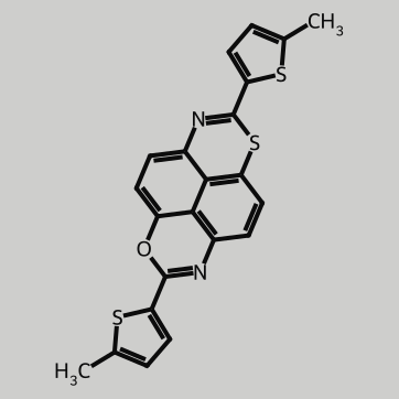 Cc1ccc(C2=Nc3ccc4c5c(ccc(c35)O2)N=C(c2ccc(C)s2)S4)s1